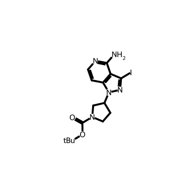 CC(C)(C)OC(=O)N1CCC(n2nc(I)c3c(N)nccc32)C1